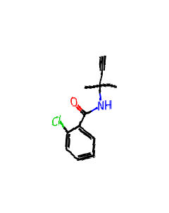 C#CC(C)(C)NC(=O)c1ccccc1Cl